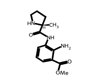 COC(=O)c1cccc(NC(=O)[C@@]2(C)CCCN2)c1N